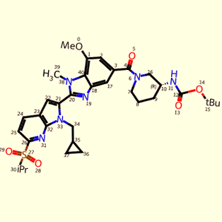 COc1cc(C(=O)N2CCC[C@@H](NC(=O)OC(C)(C)C)C2)cc2nc(-c3cc4ccc(S(=O)(=O)C(C)C)nc4n3CC3CC3)n(C)c12